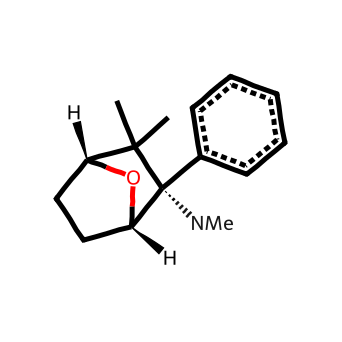 CN[C@]1(c2ccccc2)[C@@H]2CC[C@@H](O2)C1(C)C